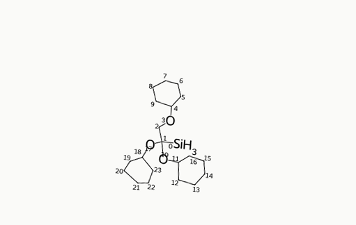 [SiH3]C(COC1CCCCC1)(OC1CCCCC1)OC1CCCCC1